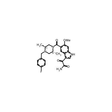 COc1cc2[nH]cc(C(=O)C(N)=O)c2cc1C(=O)N1C[C@H](C)N(Cc2ccc(F)cc2)C[C@H]1C